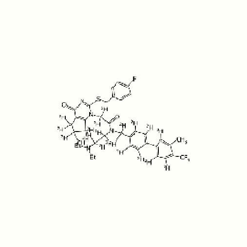 [2H]c1c([2H])c(C([2H])([2H])N(C(=O)C([2H])([2H])n2c(SCc3ccc(F)cc3)nc(=O)c3c2C([2H])([2H])C([2H])(C)C3([2H])[2H])C([2H])([2H])C([2H])([2H])N(CC)CC)c([2H])c([2H])c1-c1c([2H])c([2H])c(C(F)(F)F)c(C)c1[2H]